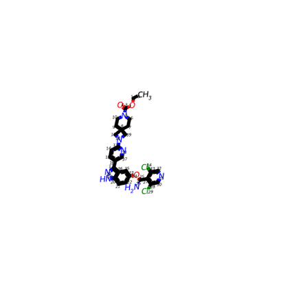 CCOC(=O)N1CCC2(CC1)CN(c1ccc(-c3n[nH]c4ccc(O[C@H](N)c5c(Cl)cncc5Cl)cc34)cn1)C2